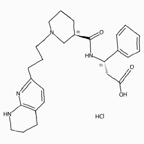 Cl.O=C(O)C[C@H](NC(=O)[C@@H]1CCCN(CCCc2ccc3c(n2)NCCC3)C1)c1ccccc1